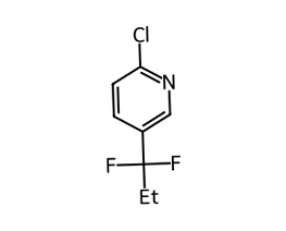 CCC(F)(F)c1ccc(Cl)nc1